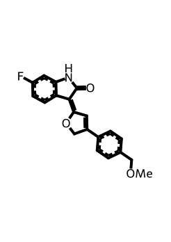 COCc1ccc(C2=C/C(=C3\C(=O)Nc4cc(F)ccc43)OC2)cc1